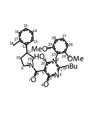 CCCCc1nc(=O)c(C(=O)N2CCC(c3ccccc3C)C2)c(O)n1-c1c(OC)cccc1OC